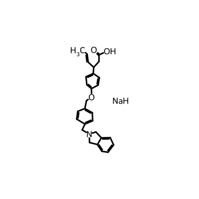 CC=CC(CC(=O)O)c1ccc(OCc2ccc(CN3Cc4ccccc4C3)cc2)cc1.[NaH]